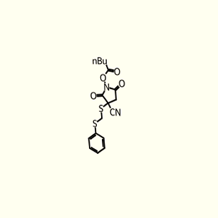 CCCCC(=O)ON1C(=O)CC(C#N)(SCSc2ccccc2)C1=O